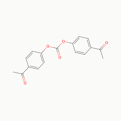 CC(=O)c1ccc(OC(=O)Oc2ccc(C(C)=O)cc2)cc1